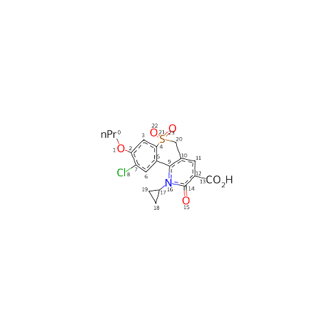 CCCOc1cc2c(cc1Cl)-c1c(cc(C(=O)O)c(=O)n1C1CC1)CS2(=O)=O